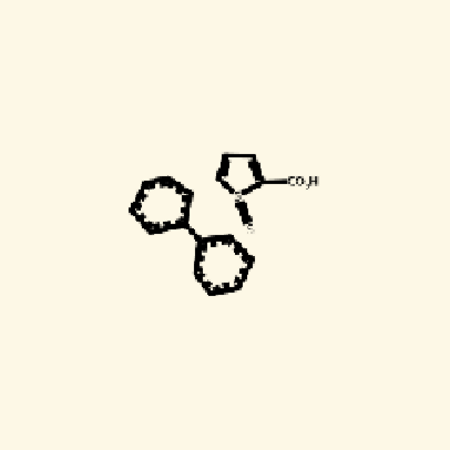 O=C(O)C1=CC=CS1=S.c1ccc(-c2ccccc2)cc1